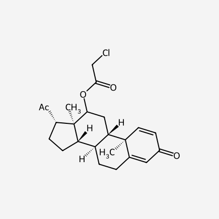 CC(=O)[C@H]1CC[C@H]2[C@@H]3CCC4=CC(=O)C=C[C@]4(C)[C@H]3CC(OC(=O)CCl)[C@]12C